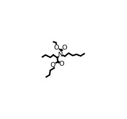 CCCCCCN(C(=O)OCC)C(CCCC)C(=O)OCCCC